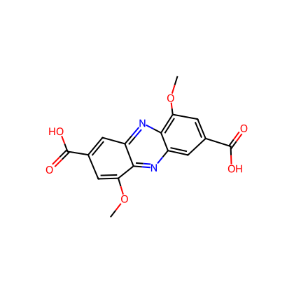 COc1cc(C(=O)O)cc2nc3c(OC)cc(C(=O)O)cc3nc12